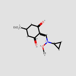 CCOC(=O)C1CC(=O)C(=CN(OCC)C2CC2)C(=O)C1